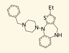 CCc1cc2c(s1)N(N1CCN(Cc3ccccc3)CC1)c1ccccc1NC2